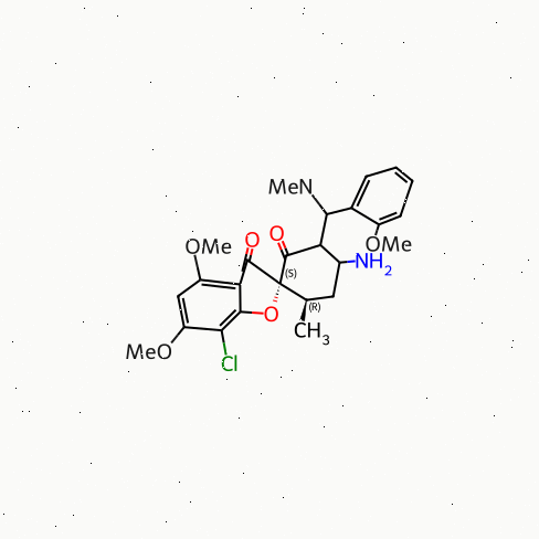 CNC(c1ccccc1OC)C1C(=O)[C@@]2(Oc3c(Cl)c(OC)cc(OC)c3C2=O)[C@H](C)CC1N